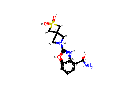 NC(=O)c1[c]ccc2oc(N3CC4(C3)CS(=O)(=O)C4)nc12